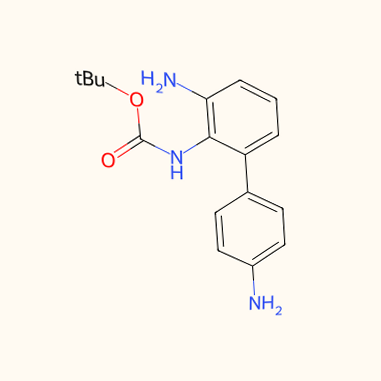 CC(C)(C)OC(=O)Nc1c(N)cccc1-c1ccc(N)cc1